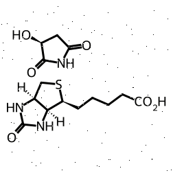 O=C(O)CCCC[C@@H]1SC[C@@H]2NC(=O)N[C@@H]21.O=C1C[C@H](O)C(=O)N1